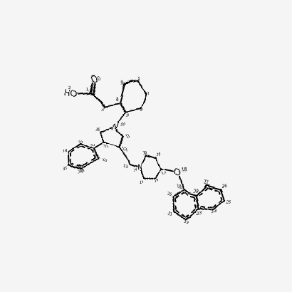 O=C(O)CC1CCCCC1N1CC(CN2CCC(Oc3cccc4ccccc34)CC2)C(c2ccccc2)C1